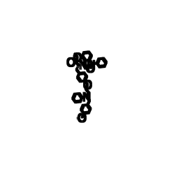 COC(=O)[C@H](Cc1ccc(OCCN(Cc2ccc(OC)cc2)c2ccccc2)cc1)Nc1ccccc1C(=O)c1ccccc1